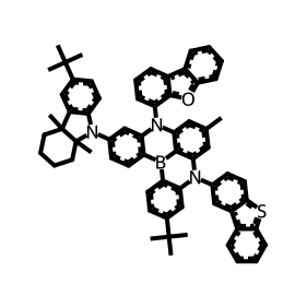 Cc1cc2c3c(c1)N(c1cccc4c1oc1ccccc14)c1cc(N4c5ccc(C(C)(C)C)cc5C5(C)CCCCC45C)ccc1B3c1ccc(C(C)(C)C)cc1N2c1ccc2sc3ccccc3c2c1